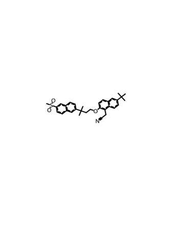 CC(C)(C)c1ccc2c(CC#N)c(OCCC(C)(C)c3ccc4cc(S(C)(=O)=O)ccc4c3)ccc2c1